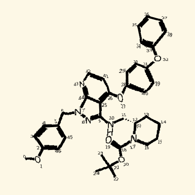 COc1ccc(Cn2nc(NC[C@@H]3CCCCN3C(=O)OC(C)(C)C)c3c(Oc4ccc(Oc5ccccc5)cc4)ccnc32)cc1